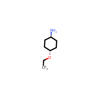 N[C@H]1CC[C@H](OCC(F)(F)F)CC1